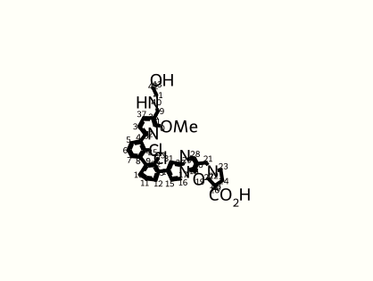 COc1nc(-c2cccc(-c3cccc(-c4ccn5c(=O)c(CN6CC[C@@H](C(=O)O)C6)cnc5c4)c3Cl)c2Cl)ccc1CNCCO